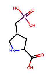 O=C(O)C1CC(CP(=O)(O)O)CN1